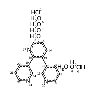 Cl.Cl.O.O.O.O.O.O.c1cncc(-c2cccnc2-c2cccnc2)c1